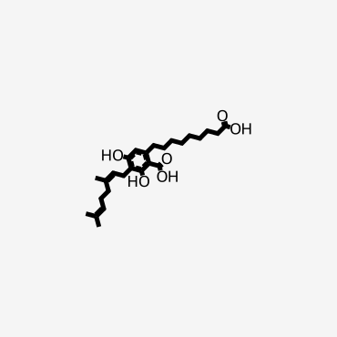 CC(C)=CCCC(C)=CCc1c(O)cc(CCCCCCCCC(=O)O)c(C(=O)O)c1O